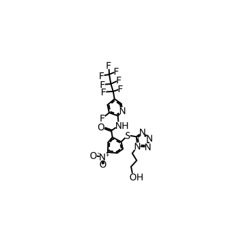 O=C(Nc1ncc(C(F)(F)C(F)(F)C(F)(F)F)cc1F)c1cc([N+](=O)[O-])ccc1Sc1nnnn1CCCO